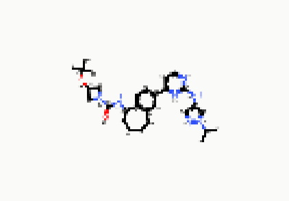 CC(C)n1cc(Nc2nccc(-c3ccc4c(c3)CCCCC4NC(=O)N3CC(OC(C)(C)C)C3)n2)cn1